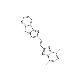 Cc1ncc(C)n2nc(C=Cc3cn4c(n3)-c3cccnc3C4)nc12